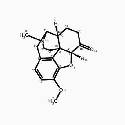 COc1ccc2c3c1O[C@H]1C(=O)CC[C@H]4C(C2)N(C)CC[C@]314